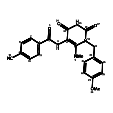 CNc1c(NC(=O)c2ccc(C#N)cc2)c(=O)[nH]c(=O)n1Cc1ccc(OC)cc1